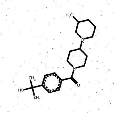 CC1CCCN(C2CCN(C(=O)c3ccc(C(C)(C)O)cc3)CC2)C1